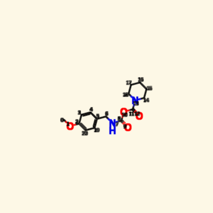 COc1ccc(CNC(=O)OC(=O)N2CCCCC2)cc1